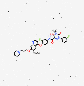 COc1cc2c(Oc3ccc(NC(=O)c4nn(-c5cccc(F)c5)c(=O)n(C)c4=O)cc3F)ccnc2cc1OCCCN1CCCCC1